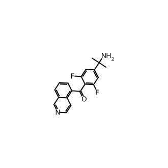 CC(C)(N)c1cc(F)c(C(=O)c2cccc3cnccc23)c(F)c1